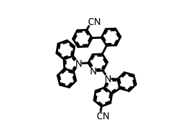 N#Cc1ccc2c(c1)c1ccccc1n2-c1cc(-c2ccccc2-c2ccccc2C#N)cc(-n2c3ccccc3c3ccccc32)n1